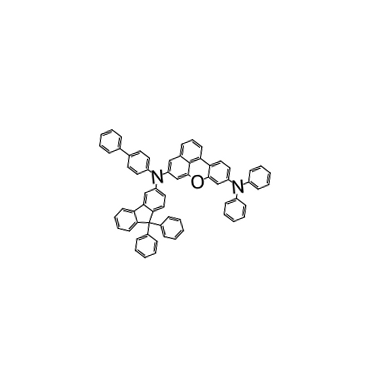 c1ccc(-c2ccc(N(c3ccc4c(c3)-c3ccccc3C4(c3ccccc3)c3ccccc3)c3cc4c5c(cccc5c3)-c3ccc(N(c5ccccc5)c5ccccc5)cc3O4)cc2)cc1